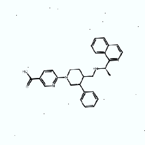 C[C@@H](NCC1CCN(c2ccc(C(=O)O)cn2)CC1c1ccccc1)c1cccc2ccccc12